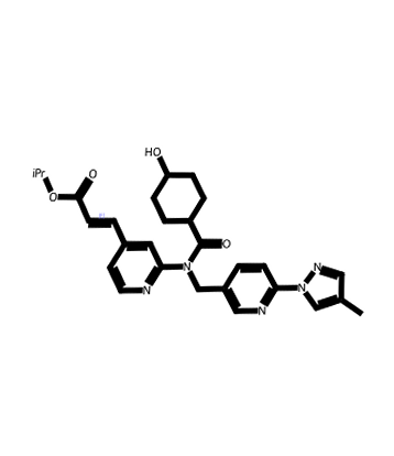 Cc1cnn(-c2ccc(CN(C(=O)C3CCC(O)CC3)c3cc(/C=C/C(=O)OC(C)C)ccn3)cn2)c1